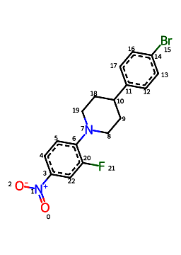 O=[N+]([O-])c1ccc(N2CCC(c3ccc(Br)cc3)CC2)c(F)c1